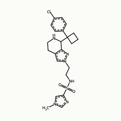 Cn1cnc(S(=O)(=O)NCCn2cc3c(n2)C(C2(c4ccc(Cl)cc4)CCC2)NCC3)c1